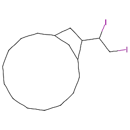 ICC(I)C1CC2CCCCCCCCCCCC1C2